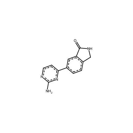 Nc1nccc(-c2ccc3c(c2)C(=O)NC3)n1